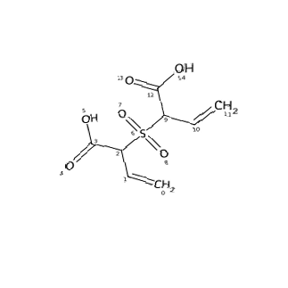 C=CC(C(=O)O)S(=O)(=O)C(C=C)C(=O)O